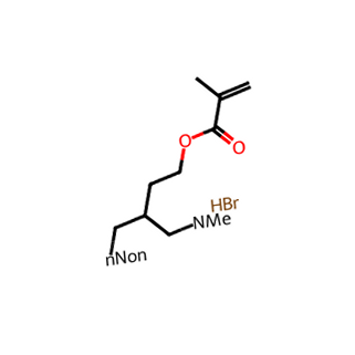 Br.C=C(C)C(=O)OCCC(CCCCCCCCCC)CNC